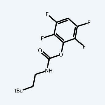 CC(C)(C)CCNC(=O)Oc1c(F)c(F)cc(F)c1F